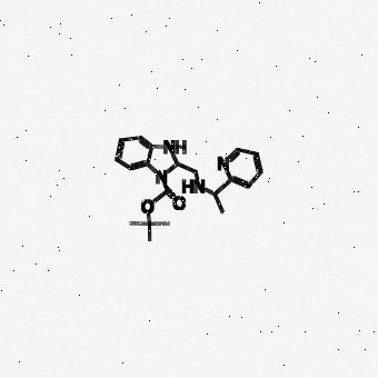 CC(NCC1Nc2ccccc2N1C(=O)OC(C)(C)C)c1ccccn1